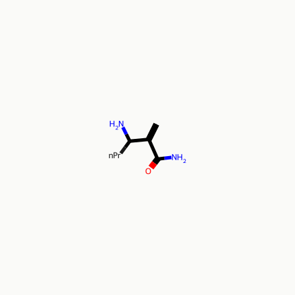 C=C(C(N)=O)C(N)CCC